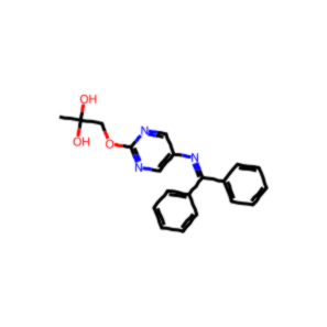 CC(O)(O)COc1ncc(N=C(c2ccccc2)c2ccccc2)cn1